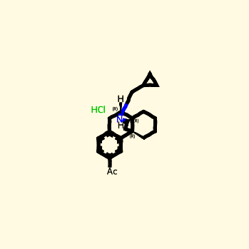 CC(=O)c1ccc2c(c1)[C@@]13CCCC[C@H]1[C@@H](C2)N(CC1CC1)CC3.Cl